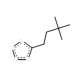 C[C@@H](CC(C)(C)C)c1nn[nH]n1